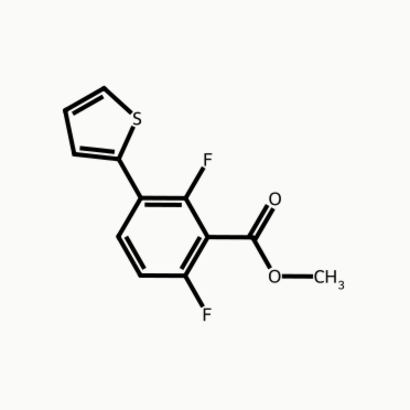 COC(=O)c1c(F)ccc(-c2cccs2)c1F